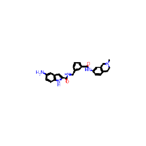 CN1CCc2ccc(NC(=O)c3cccc(CNC(=O)c4cc5cc(N)ccc5[nH]4)c3)cc2C1